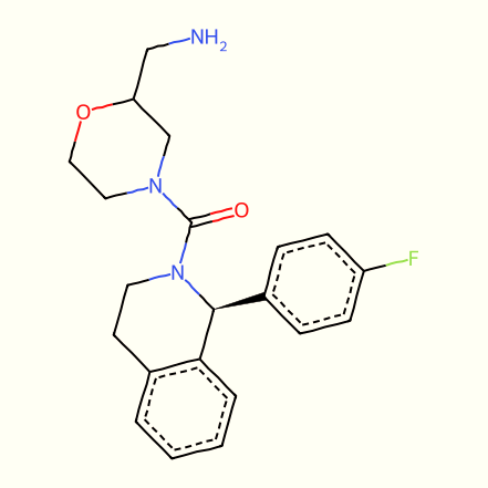 NCC1CN(C(=O)N2CCc3ccccc3[C@@H]2c2ccc(F)cc2)CCO1